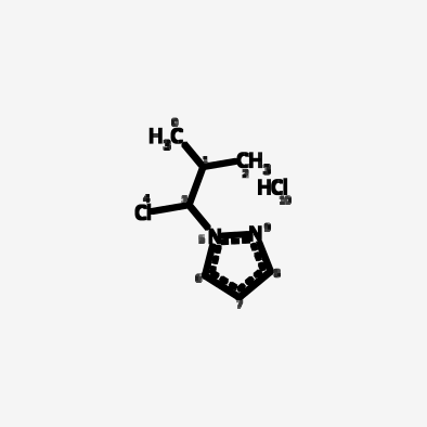 CC(C)C(Cl)n1cccn1.Cl